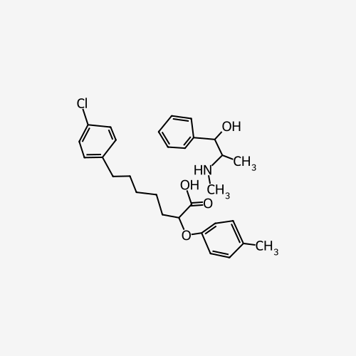 CNC(C)C(O)c1ccccc1.Cc1ccc(OC(CCCCCc2ccc(Cl)cc2)C(=O)O)cc1